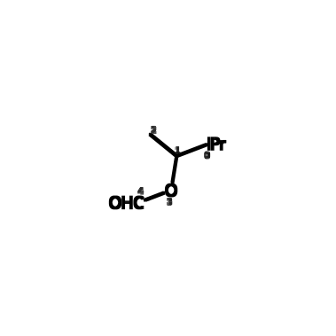 CC(C)C(C)OC=O